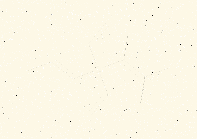 C=C[Si](C=C)(C=CC)C(C)=C(C)C